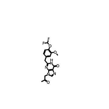 COc1cc(Cc2nc3c(ncn3CC(C)=O)c(=O)[nH]2)ccc1OC(F)F